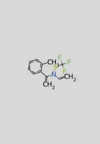 C=CN(SC(F)(F)F)C(=C)c1ccccc1C